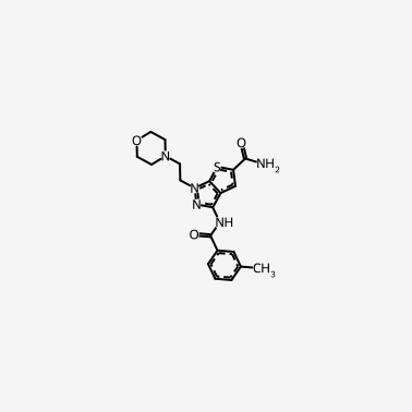 Cc1cccc(C(=O)Nc2nn(CCN3CCOCC3)c3sc(C(N)=O)cc23)c1